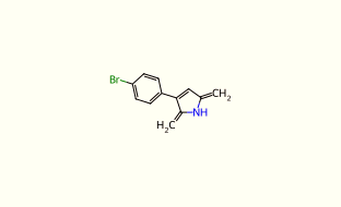 C=c1cc(-c2ccc(Br)cc2)c(=C)[nH]1